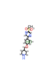 CS(=O)(=O)c1cnc(C2CCC(OCC3CCNCC3)CC2)cn1.Cl